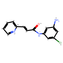 Nc1cc(Cl)cc(NC(=O)C=Cc2ccccn2)c1